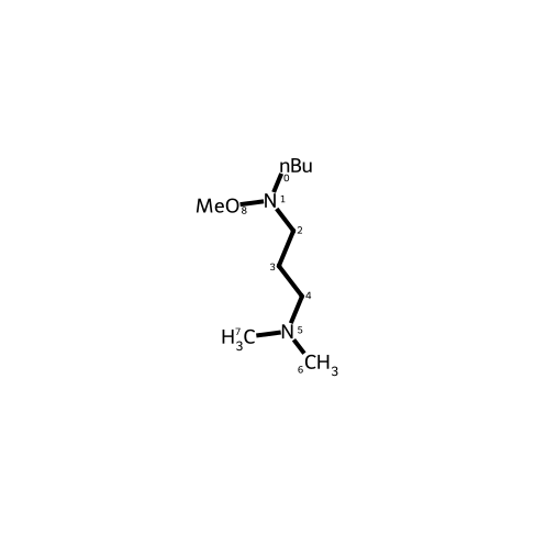 CCCCN(CCCN(C)C)OC